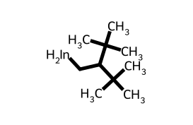 CC(C)(C)C([CH2][InH2])C(C)(C)C